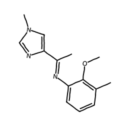 COc1c(C)cccc1N=C(C)c1cn(C)cn1